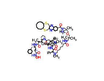 CC[C@H](C)[C@@H]([C@@H](CC(=O)N1CCC[C@H]1[C@H](OC)[C@@H](C)C(=O)N[C@H](/C=C/C(=O)NO)Cc1ccccc1)OC)N(C)C(=O)[C@@H](NC(=O)[C@H](C(C)C)N(C)CCCCCCC(=O)NCC(C)(C)COCC(C)(C)CNC(=O)c1ccc2nc3c(nc2c1)CSc1cccccccc(c1)SC3)C(C)C